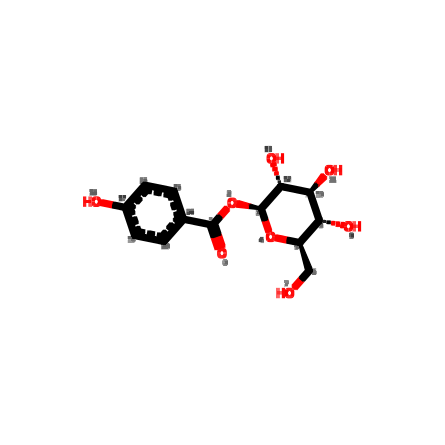 O=C(O[C@@H]1O[C@H](CO)[C@@H](O)[C@H](O)[C@H]1O)c1ccc(O)cc1